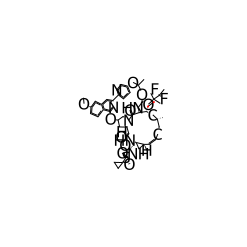 CC[C@@H]1C[C@H](C)CC/C=C\[C@@H]2C[C@@]2(C(=O)NS(=O)(=O)C2CC2)NC(=O)[C@@H]2C[C@@H](Oc3nc(-c4ccc(OC(C)C)cn4)cc4cc(OC)ccc34)CN2C(=O)[C@H]1NC(=O)OC(C)(C)C(C)(F)F